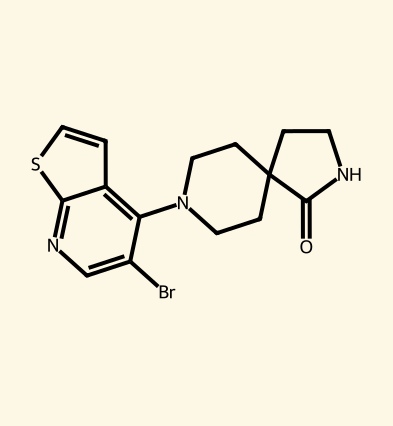 O=C1NCCC12CCN(c1c(Br)cnc3sccc13)CC2